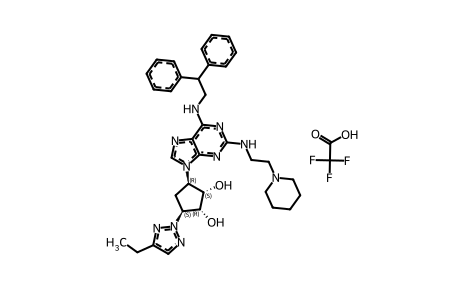 CCc1cnn([C@H]2C[C@@H](n3cnc4c(NCC(c5ccccc5)c5ccccc5)nc(NCCN5CCCCC5)nc43)[C@H](O)[C@@H]2O)n1.O=C(O)C(F)(F)F